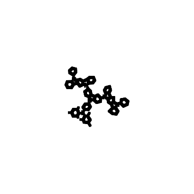 Cc1cc(C)c(B(c2ccc(-n3c4ccc(-n5c6ccccc6c6cc7c(cc65)c5ccccc5n7-c5ccccc5)cc4c4cc(-n5c6ccccc6c6cc7c(cc65)c5ccccc5n7-c5ccccc5)ccc43)cc2)c2c(C)cc(C)cc2C)c(C)c1